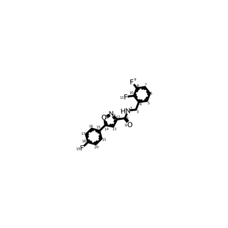 O=C(NCc1cccc(F)c1F)c1cc(-c2ccc(F)cc2)on1